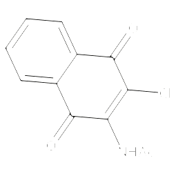 CC(=O)NC1=C(Cl)C(=O)c2ccccc2C1=O